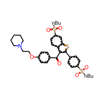 CCCCS(=O)(=O)c1ccc(-c2sc3cc(S(=O)(=O)CCCC)ccc3c2C(=O)c2ccc(OCCN3CCCCC3)cc2)cc1